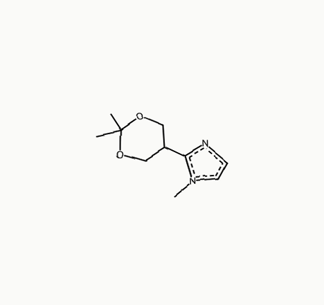 Cn1ccnc1C1COC(C)(C)OC1